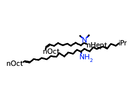 CCCCCCCC/C=C\CCCCCCCC(CCCCCCC)N(C)C.CCCCCCCCC=CCCCCCCCCCCCC(N)CCCCCCCCC(C)C